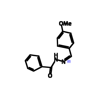 COc1ccc(/C=N\NC(=O)c2ccccc2)cc1